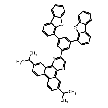 CC(C)c1ccc2c3ccc(C(C)C)cc3c3nc(-c4cc(-c5cccc6c5oc5ccccc56)cc(-c5cccc6c5oc5ccccc56)c4)cnc3c2c1